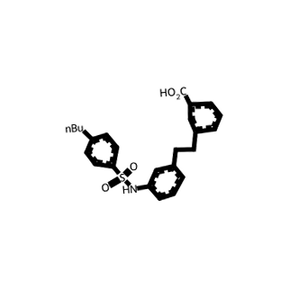 CCCCc1ccc(S(=O)(=O)Nc2cccc(CCc3cccc(C(=O)O)c3)c2)cc1